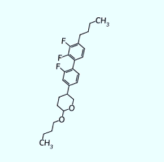 CCCCOC1CCC(c2ccc(-c3ccc(CCCC)c(F)c3F)c(F)c2)CO1